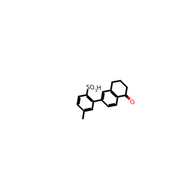 Cc1ccc(S(=O)(=O)O)c(-c2ccc3c(c2)CCCC3=O)c1